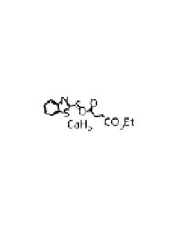 CCOC(=O)CCC(=O)OSc1nc2ccccc2s1.[CaH2]